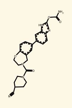 N#CC1CCN(C(=O)N2CCOc3ccc(-c4ccc5nc(OC(N)=O)[nH]c5c4)cc3C2)CC1